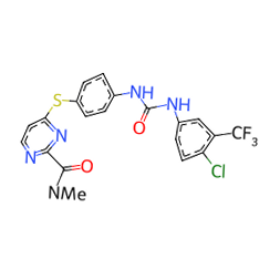 CNC(=O)c1nccc(Sc2ccc(NC(=O)Nc3ccc(Cl)c(C(F)(F)F)c3)cc2)n1